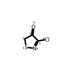 O=C1CSN=C1Cl